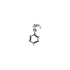 [NH2][Ni][c]1ccccc1